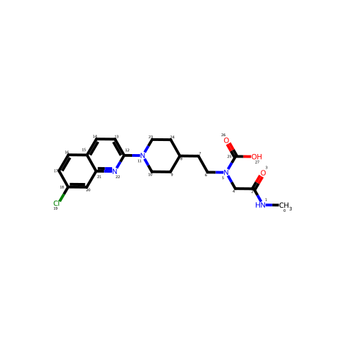 CNC(=O)CN(CCC1CCN(c2ccc3ccc(Cl)cc3n2)CC1)C(=O)O